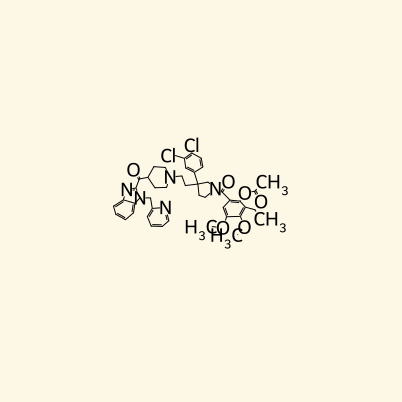 CCc1c(OC)c(OC)cc(C(=O)N2CCC(CCN3CCC(C(=O)c4nc5ccccc5n4Cc4ccccn4)CC3)(c3ccc(Cl)c(Cl)c3)C2)c1OC(C)=O